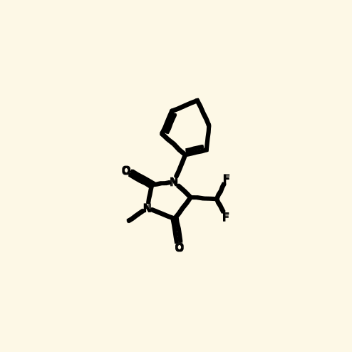 CN1C(=O)C(C(F)F)N(C2=CCCC=C2)C1=O